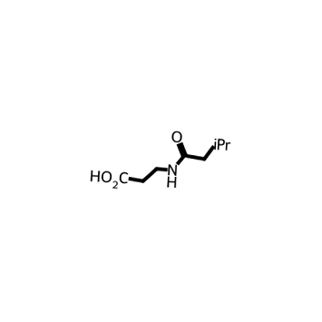 CC(C)CC(=O)NCCC(=O)O